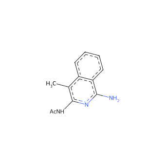 CC(=O)Nc1nc(N)c2ccccc2c1C